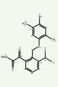 CCc1cc(C)c(OCc2c(C(=O)C(=O)OC)cccc2C(F)F)cc1C